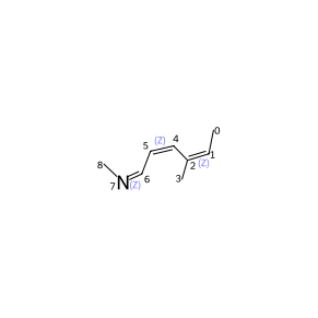 C\C=C(C)/C=C\C=N/C